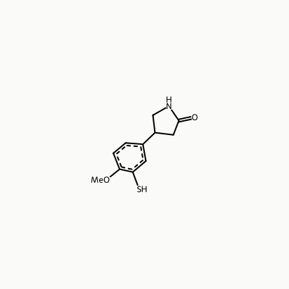 COc1ccc(C2CNC(=O)C2)cc1S